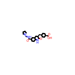 O=C(O)c1ccc(Cc2cc3cc(C(=O)NCn4cccc4)ccc3[nH]c2=O)cc1